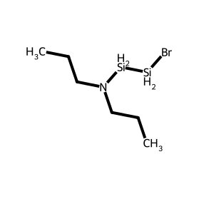 CCCN(CCC)[SiH2][SiH2]Br